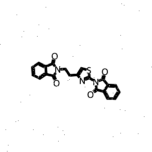 O=C1c2ccccc2C(=O)N1CCc1csc(N2C(=O)c3ccccc3C2=O)n1